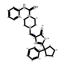 N=C(Nc1ccccn1)N1CCN(/C=C2/N=C(C3(c4ccccc4)CCCC3)OC2=O)CC1